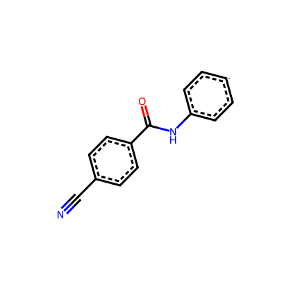 N#Cc1ccc(C(=O)Nc2cc[c]cc2)cc1